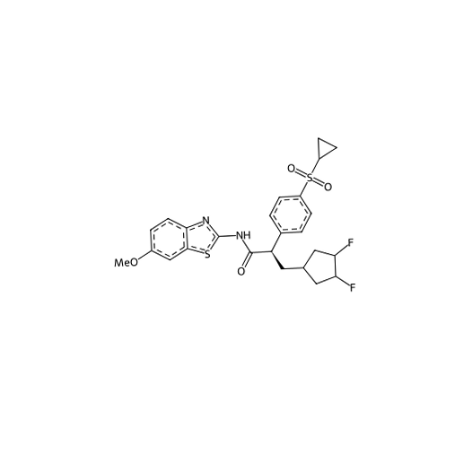 COc1ccc2nc(NC(=O)[C@H](CC3CC(F)C(F)C3)c3ccc(S(=O)(=O)C4CC4)cc3)sc2c1